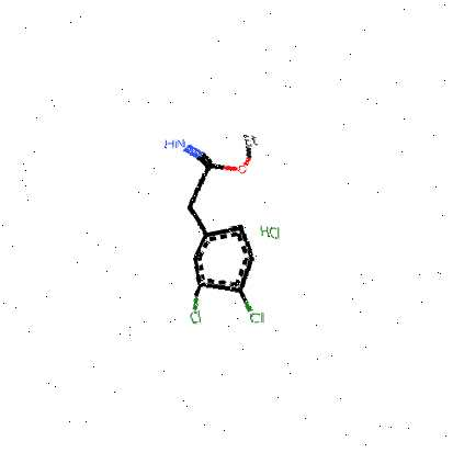 CCOC(=N)Cc1ccc(Cl)c(Cl)c1.Cl